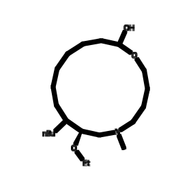 CCCCC1CCCCCCC(O)OCCCCN(C)C[C@H]1OCC